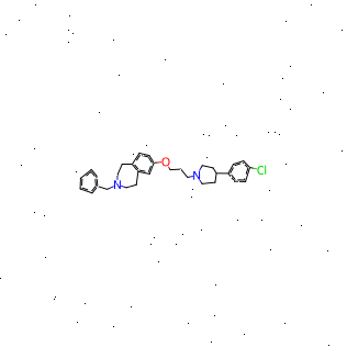 Clc1ccc(C2CCN(CCCOc3ccc4c(c3)CCN(Cc3ccccc3)CC4)CC2)cc1